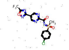 CS(=O)(=NC(=O)c1ncc(-c2noc(C(F)(F)F)n2)cn1)c1ccc(Cl)cc1